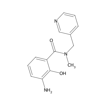 CN(Cc1cccnc1)C(=O)c1cccc(N)c1O